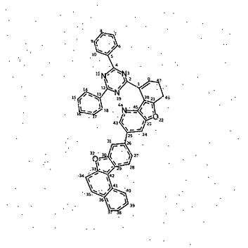 C1=C(c2nc(-c3ccccc3)nc(-c3ccccc3)n2)c2c(oc3cc(-c4ccc5c(c4)oc4ccc6ccccc6c45)cnc23)CC1